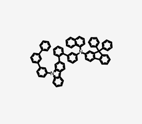 c1ccc(-c2cccc(-c3cccc(-n4c5ccccc5c5ccc(-c6ccccc6-c6cccc(N(c7ccc8c(c7)C(c7ccccc7)(c7ccccc7)c7ccccc7-8)c7cccc8ccccc78)c6)cc54)c3)c2)cc1